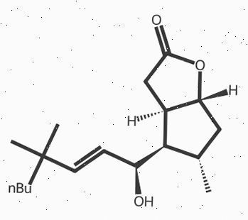 CCCCC(C)(C)/C=C/[C@H](O)[C@H]1[C@H]2CC(=O)O[C@@H]2C[C@@H]1C